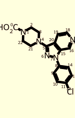 O=C(O)N1CCN(c2nn(-c3ccc(Cl)cc3)c3cnccc23)CC1